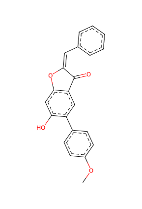 COc1ccc(-c2cc3c(cc2O)OC(=Cc2ccccc2)C3=O)cc1